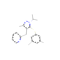 Cc1cc(C)cc(Sc2c(Cc3ccccn3)c(C)nn2C(C)C)c1